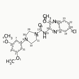 COc1cc(OC)cc(N2CCN(C(=O)Nc3nc4cc(Cl)ccc4nc3OC)CC2)c1